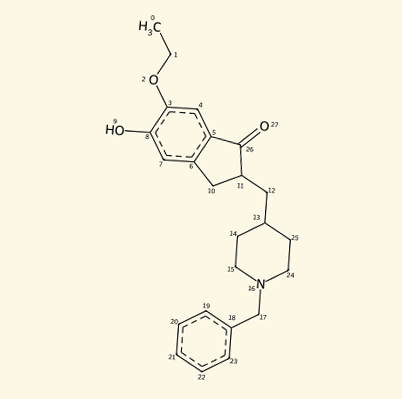 CCOc1cc2c(cc1O)CC(CC1CCN(Cc3ccccc3)CC1)C2=O